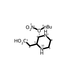 CCCCO[N+](=O)[O-].O=C(O)CC1CNCCN1